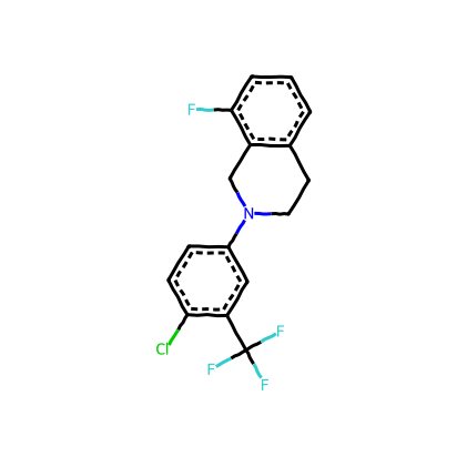 Fc1cccc2c1CN(c1ccc(Cl)c(C(F)(F)F)c1)CC2